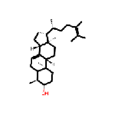 CC(C)=C(C)CC[C@@H](C)[C@H]1CC[C@H]2C3=CCC4[C@H](C)[C@@H](O)CC[C@]4(C)[C@H]3CC[C@]12C